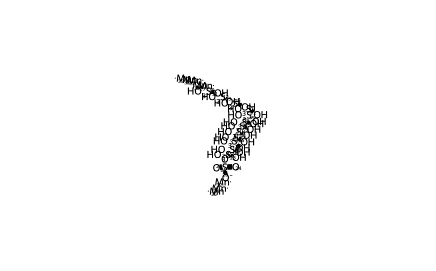 O=S(=O)(O)O.O=S(=O)(O)O.O=S(=O)(O)O.O=S(=O)(O)O.O=S(=O)(O)O.O=S(=O)(O)O.O=S(=O)(O)O.O=S(=O)(O)O.O=S(=O)(O)O.O=S(=O)(O)O.O=S(=O)(O)O.O=S(=O)(O)O.O=S(=O)([O-])[O-].[Mn].[Mn].[Mn].[Mn].[Mn].[Mn].[Mn].[Mn]